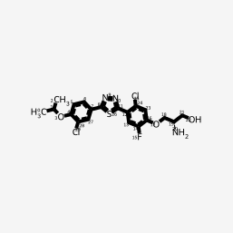 CC(C)Oc1ccc(-c2nnc(-c3cc(F)c(OC[C@@H](N)CO)cc3Cl)s2)cc1Cl